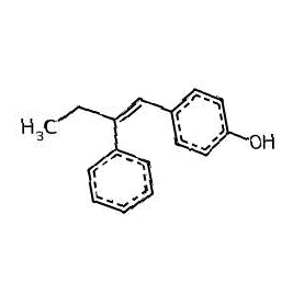 CC/C(=C/c1ccc(O)cc1)c1ccccc1